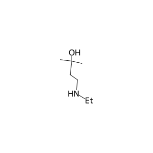 CCNCCC(C)(C)O